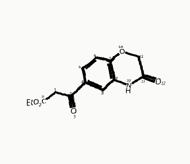 CCOC(=O)CC(=O)c1ccc2c(c1)NC(=O)CO2